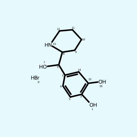 Br.Oc1ccc(C(O)C2CCCCN2)cc1O